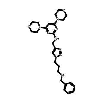 c1ccc(CNCCCn2cc(CNc3nc(N4CCOCC4)cc(N4CCOCC4)n3)nn2)cc1